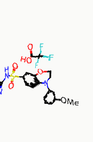 COc1cccc(N2CCOc3cc(S(=O)(=O)Nc4nccs4)ccc32)c1.O=C(O)C(F)(F)F